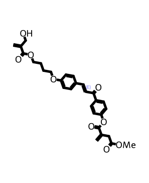 C=C(CO)C(=O)OCCCCOc1ccc(/C=C/C(=O)c2ccc(OC(=O)C(=C)CC(=O)OC)cc2)cc1